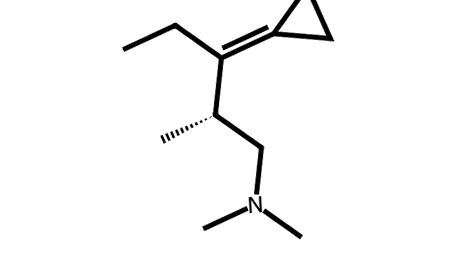 CCC(=C1CC1)[C@@H](C)CN(C)C